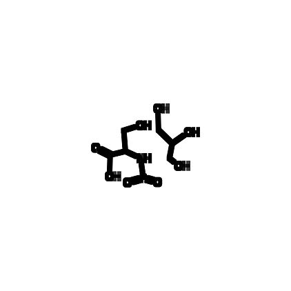 O=C(O)C(CO)NP(=O)=O.OCC(O)CO